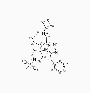 CS(=O)(=O)N1CCC(c2nnnn2Cc2ccccc2)(N2CCCN(C3CCC3)CC2)CC1